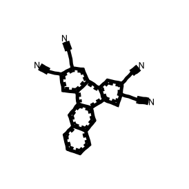 N#Cc1cc2c3cc(C#N)c(C#N)cc3c3cc4ccccc4cc3c2cc1C#N